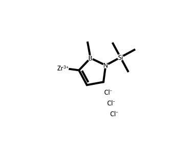 CB1[C]([Zr+3])=CCN1[Si](C)(C)C.[Cl-].[Cl-].[Cl-]